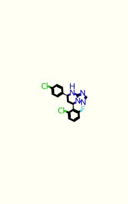 Fc1cccc(Cl)c1[C@H]1C[C@@H](c2ccc(Cl)cc2)Nc2ncnn21